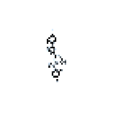 O=C1c2ccc(F)cc2CC[C@@H]2CCC(c3noc(-c4ccc(F)cn4)n3)CN12